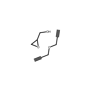 C#CCOCC#C.OCC1CO1